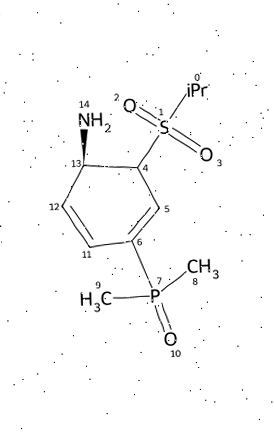 CC(C)S(=O)(=O)C1C=C(P(C)(C)=O)C=C[C@H]1N